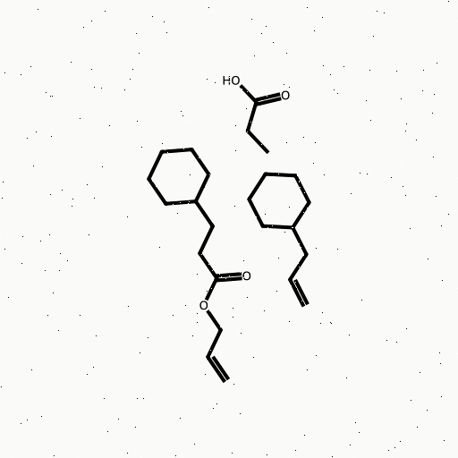 C=CCC1CCCCC1.C=CCOC(=O)CCC1CCCCC1.CCC(=O)O